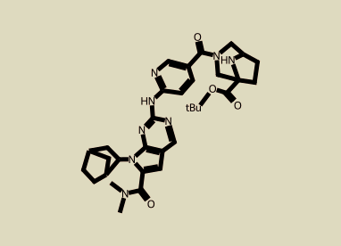 CN(C)C(=O)c1cc2cnc(Nc3ccc(C(=O)N4CC5CCC(C(=O)OC(C)(C)C)(C4)N5)cn3)nc2n1C1CC2CCC1C2